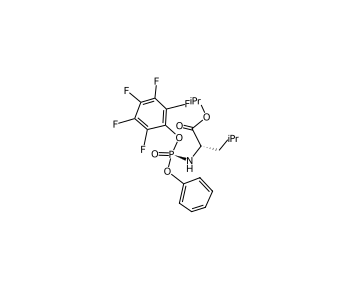 CC(C)C[C@H](N[P@](=O)(Oc1ccccc1)Oc1c(F)c(F)c(F)c(F)c1F)C(=O)OC(C)C